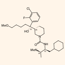 CN[C@H](C)[C@H](CC1CCCCC1)NC(=O)N1CCC[C@@H]([C@@](O)(CCCCOC)c2cccc(Cl)c2F)C1